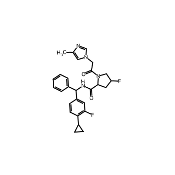 Cc1cn(CC(=O)N2CC(F)CC2C(=O)NC(c2ccccc2)c2ccc(C3CC3)c(F)c2)cn1